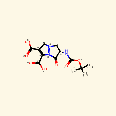 CC(C)(C)OC(=O)N[C@H]1CN2CC(C(=O)O)=C(C(=O)O)N2C1=O